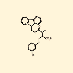 CC(C)c1cccc(CCC(C(=O)O)N(C)C(=O)OCC2c3ccccc3-c3ccccc32)c1